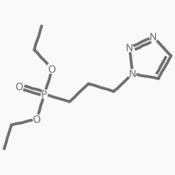 CCOP(=O)(CCCn1ccnn1)OCC